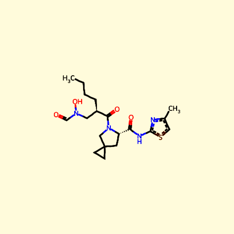 CCCC[C@H](CN(O)C=O)C(=O)N1CC2(CC2)C[C@H]1C(=O)Nc1nc(C)cs1